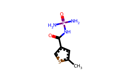 Cc1cc(C(=O)NP(N)(N)=O)cs1